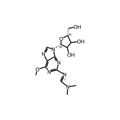 COc1nc(/N=C/N(C)C)nc2c1ncn2[C@@H]1O[C@H](CO)C(O)C1O